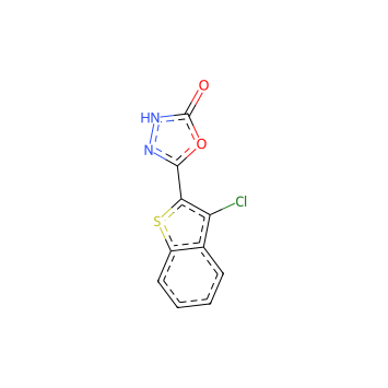 O=c1[nH]nc(-c2sc3ccccc3c2Cl)o1